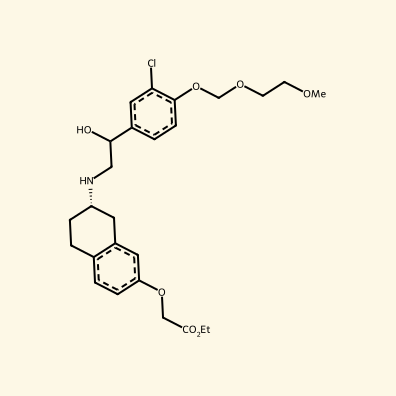 CCOC(=O)COc1ccc2c(c1)C[C@@H](NCC(O)c1ccc(OCOCCOC)c(Cl)c1)CC2